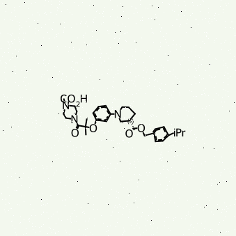 CC(C)c1ccc(COC(=O)[C@H]2CCCN(c3cccc(OC(C)(C)C(=O)N4CCN(C(=O)O)CC4)c3)C2)cc1